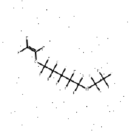 FC(F)=C(F)OC(F)(F)C(F)(F)C(F)(F)C(F)(F)C(F)(F)OC(F)(F)C(F)(F)I